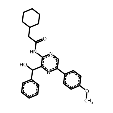 COc1ccc(-c2cnc(NC(=O)CC3CCCCC3)c(C(O)c3ccccc3)n2)cc1